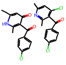 Cc1cc(=O)c(C(=O)c2ccc(Cl)cc2)c(C)[nH]1.Cc1cc(Cl)c(C(=O)c2ccc(Cl)cc2)c(C)n1